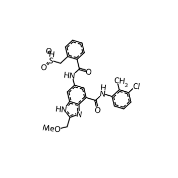 COCc1nc2c(C(=O)Nc3cccc(Cl)c3C)cc(NC(=O)c3ccccc3C[SH](=O)=O)cc2[nH]1